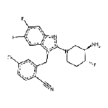 N#Cc1ccc(Cl)cc1Cn1c(N2CC[C@@H](F)[C@H](N)C2)nc2cc(F)c(F)cc21